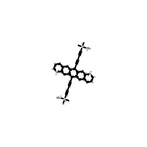 CC(C)(C)[Si](C)(C)C#CC#Cc1c2cc3cccnc3cc2c(C#CC#C[Si](C)(C)C(C)(C)C)c2cc3cccnc3cc12